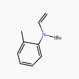 C=CN(c1ccccc1C)C(C)(C)C